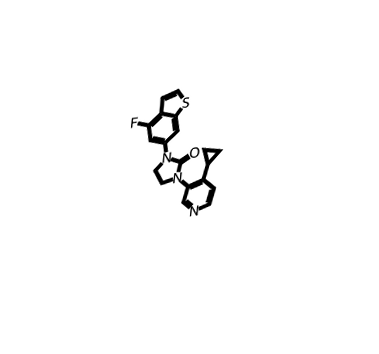 O=C1N(c2cc(F)c3ccsc3c2)CCN1c1cnccc1C1CC1